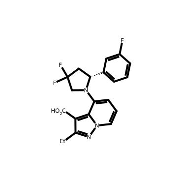 CCc1nn2cccc(N3CC(F)(F)C[C@@H]3c3cccc(F)c3)c2c1C(=O)O